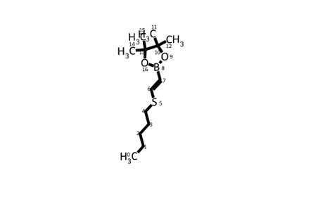 CCCCCS/C=C/B1OC(C)(C)C(C)(C)O1